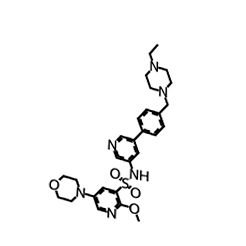 CCN1CCN(Cc2ccc(-c3cncc(NS(=O)(=O)c4cc(N5CCOCC5)cnc4OC)c3)cc2)CC1